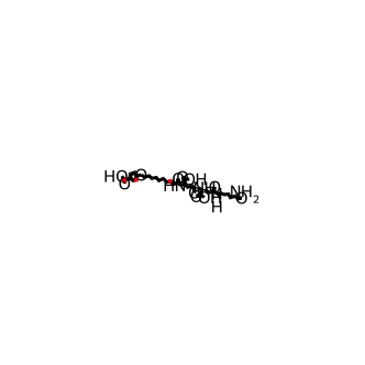 N[C@H](C=O)CCCCNC(=O)CC[C@H](NC(=O)CCC(NC(=O)CCCCCCCCCOc1ccc(C(=O)O)cc1)C(=O)O)C(=O)O